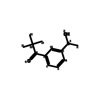 CB(O)c1cccc(C(=O)C(C)(C)C)c1